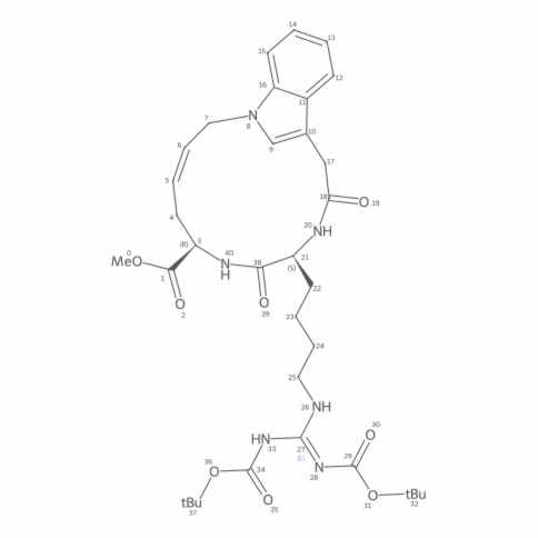 COC(=O)[C@H]1CC=CCn2cc(c3ccccc32)CC(=O)N[C@@H](CCCCN/C(=N\C(=O)OC(C)(C)C)NC(=O)OC(C)(C)C)C(=O)N1